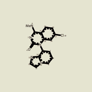 CNc1nc(=O)n(-c2cccn3ccnc23)c2cc(Cl)ccc12